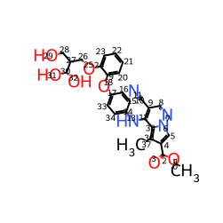 COC(=O)c1cn2ncc(C#N)c(Nc3ccc(Oc4ccccc4OCC(CO)C(O)O)cc3)c2c1C